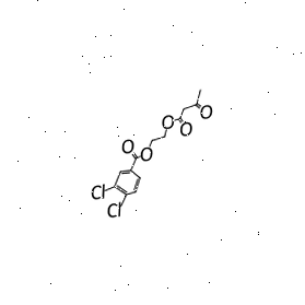 CC(=O)CC(=O)OCCOC(=O)c1ccc(Cl)c(Cl)c1